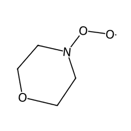 [O]ON1CCOCC1